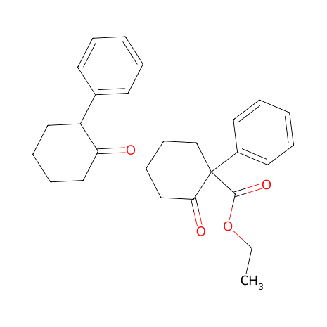 CCOC(=O)C1(c2ccccc2)CCCCC1=O.O=C1CCCCC1c1ccccc1